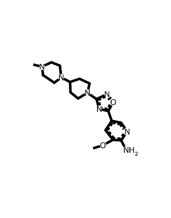 COc1cc(-c2nc(N3CCC(N4CCN(C)CC4)CC3)no2)cnc1N